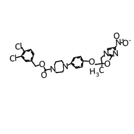 C[C@@]1(COc2ccc(N3CCN(C(=O)OCc4ccc(Cl)c(Cl)c4)CC3)cc2)Cn2cc([N+](=O)[O-])nc2O1